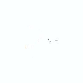 CC(=O)O[PH2]=O.[NaH]